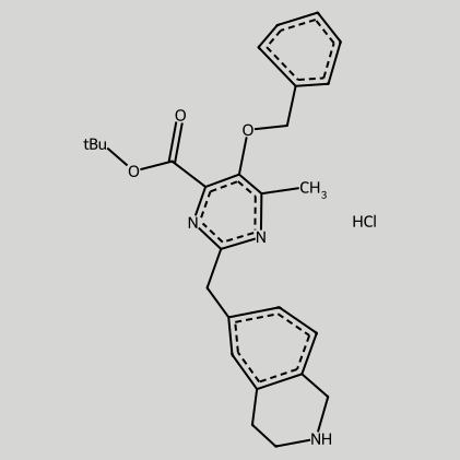 Cc1nc(Cc2ccc3c(c2)CCNC3)nc(C(=O)OC(C)(C)C)c1OCc1ccccc1.Cl